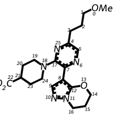 COCCCc1cnc(-c2cnn3c2OCCC3)c(N2CCC(C(=O)O)CC2)n1